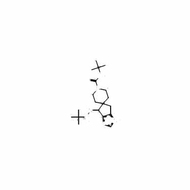 CC(C)(C)OC(=O)N1CCC2(CC1)Cc1ncsc1C2N[S@+]([O-])C(C)(C)C